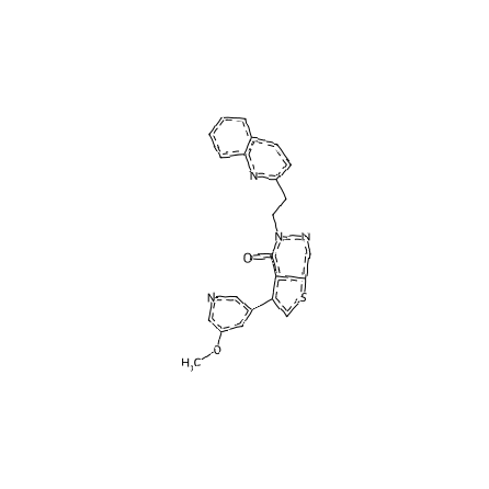 COc1cncc(-c2csc3cnn(CCc4ccc5ccccc5n4)c(=O)c23)c1